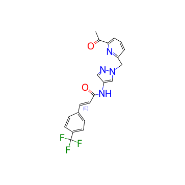 CC(=O)c1cccc(Cn2cc(NC(=O)/C=C/c3ccc(C(F)(F)F)cc3)cn2)n1